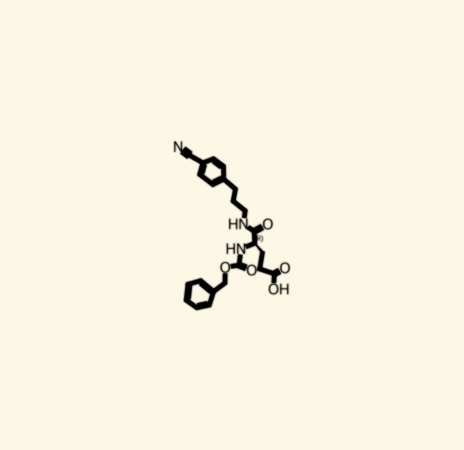 N#Cc1ccc(CCCNC(=O)[C@@H](CCC(=O)O)NC(=O)OCc2ccccc2)cc1